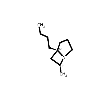 CCCC[C@@]12CCCN1[C@@H](C)C2